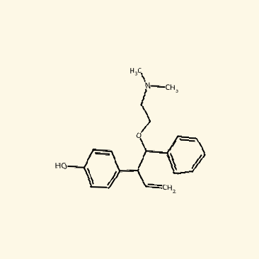 C=CC(c1ccc(O)cc1)C(OCCN(C)C)c1ccccc1